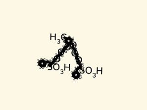 Cc1ccc(OCCOCCOCCC(Cc2ccccc2)S(=O)(=O)O)c(OCCOCCOCCC(Cc2ccccc2)S(=O)(=O)O)c1